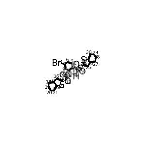 O=S(=O)(Nc1ccc(Br)cc1NS(=O)(=O)c1cc2ccccc2s1)c1cc2ccccc2s1